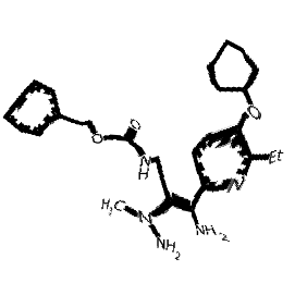 CCc1nc(/C(N)=C(\CNC(=O)OCc2ccccc2)N(C)N)ccc1OC1CCCCC1